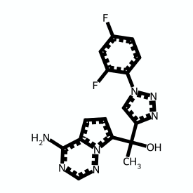 CC(O)(c1cn(-c2ccc(F)cc2F)nn1)c1ccc2c(N)ncnn12